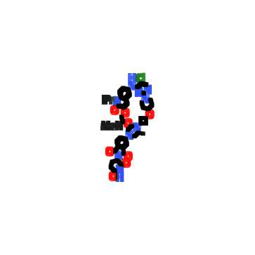 CNC(=O)COc1cc2cc(Nc3nc(N4CCC(O[C@H]5C[C@H](N6CCN(c7ccc8c(c7)C(=O)N(C7CCC(=O)NC7=O)C8=O)C[C@@H]6C)C5)CC4)ncc3Cl)ccc2n(C(C)C)c1=O